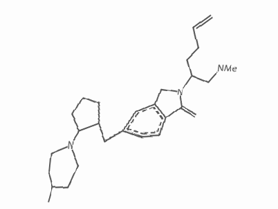 C=CCCC(CNC)N1Cc2cc(CC3CCCC3N3CCC(C)CC3)ccc2C1=C